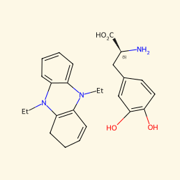 CCN1C2=C(CCC=C2)N(CC)c2ccccc21.N[C@@H](Cc1ccc(O)c(O)c1)C(=O)O